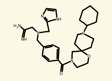 N=C(N)CN(Cc1ccc(C(=O)N2CCOC3(CCN(C4CCCCC4)CC3)C2)cc1)Cc1ncc[nH]1